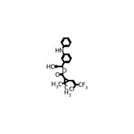 C#CC(OC(=O)C1C(C=C(Cl)C(F)(F)F)C1(C)C)c1cccc(Nc2ccccc2)c1